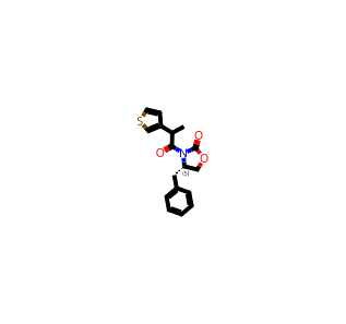 CC(C(=O)N1C(=O)OC[C@@H]1Cc1ccccc1)c1ccsc1